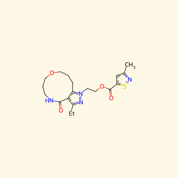 CCc1nn(CCOC(=O)c2cc(C)ns2)c2c1C(=O)NCCCOCCC2